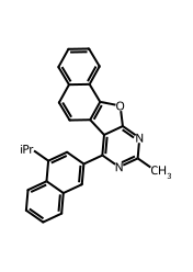 Cc1nc(-c2cc(C(C)C)c3ccccc3c2)c2c(n1)oc1c3ccccc3ccc12